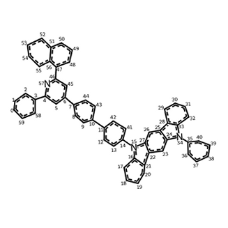 c1ccc(-c2cc(-c3ccc(-c4ccc(-n5c6ccccc6c6cc7c(cc65)c5ccccc5n7-c5ccccc5)cc4)cc3)cc(-c3cccc4ccccc34)n2)cc1